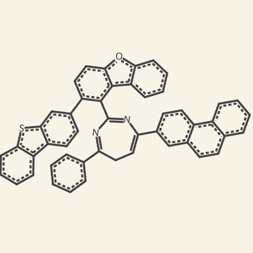 C1=C(c2ccc3c(ccc4ccccc43)c2)N=C(c2c(-c3ccc4c(c3)sc3ccccc34)ccc3oc4ccccc4c23)N=C(c2ccccc2)C1